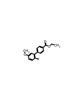 CCOC(=O)c1ccc(-c2cc(OC)ccc2F)cc1